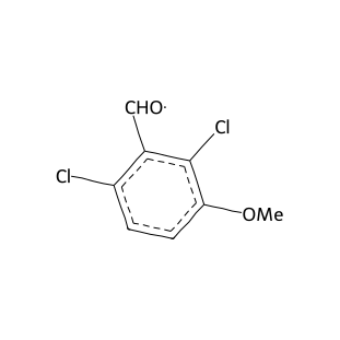 COc1ccc(Cl)c([C]=O)c1Cl